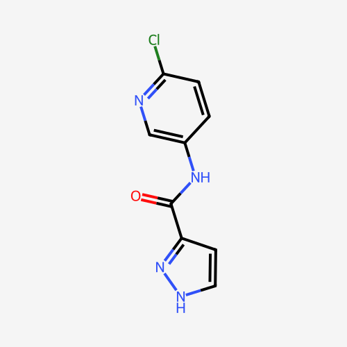 O=C(Nc1ccc(Cl)nc1)c1cc[nH]n1